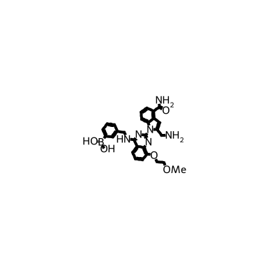 COCCOc1cccc2c(NCc3cccc(B(O)O)c3)nc(-n3c(CN)cc4c(C(N)=O)cccc43)nc12